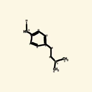 CN(C)CCc1ccc(NI)cc1